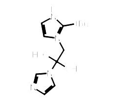 CC(C)(C)c1[nH]cc[n+]1CC(C)(C)n1ccnc1